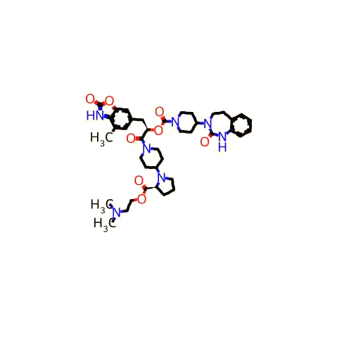 Cc1cc(C[C@@H](OC(=O)N2CCC(N3CCc4ccccc4NC3=O)CC2)C(=O)N2CCC(N3CCC[C@H]3C(=O)OCCN(C)C)CC2)cc2oc(=O)[nH]c12